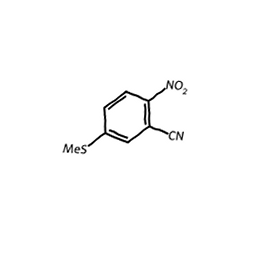 CSc1ccc([N+](=O)[O-])c(C#N)c1